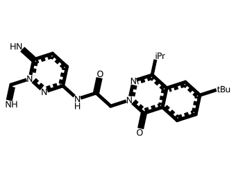 CC(C)c1nn(CC(=O)Nc2ccc(=N)n(C=N)n2)c(=O)c2ccc(C(C)(C)C)cc12